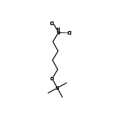 C[Si](C)(C)OCCCC[SiH](Cl)Cl